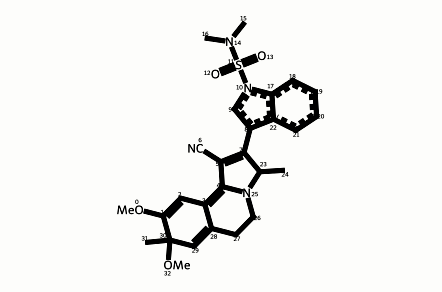 COC1=CC2=C3C(C#N)=C(c4cn(S(=O)(=O)N(C)C)c5ccccc45)C(C)N3CCC2=CC1(C)OC